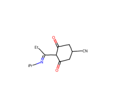 CCC(=NC(C)C)C1C(=O)CC(C#N)CC1=O